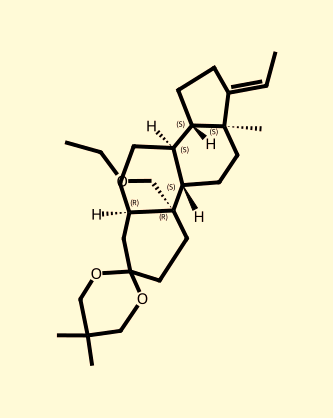 CC=C1CC[C@H]2[C@@H]3CC[C@@H]4CC5(CC[C@]4(COCC)[C@H]3CC[C@]12C)OCC(C)(C)CO5